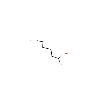 CCCCCCCCCCCCCC(CCCC)OS(=O)(=O)O